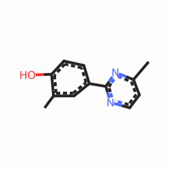 Cc1ccnc(-c2ccc(O)c(C)c2)n1